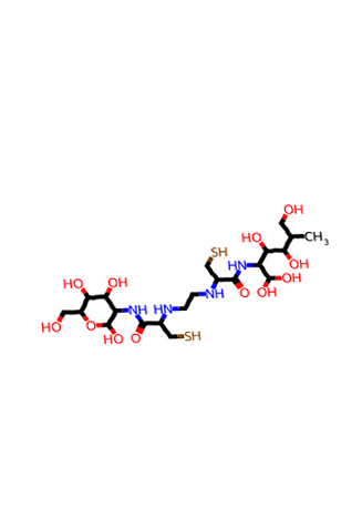 CC(CO)C(O)C(O)C(NC(=O)C(CS)NCCNC(CS)C(=O)NC1C(O)OC(CO)C(O)C1O)C(O)O